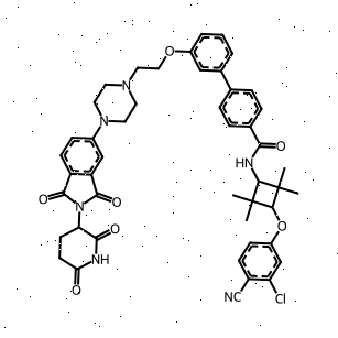 CC1(C)C(NC(=O)c2ccc(-c3cccc(OCCN4CCN(c5ccc6c(c5)C(=O)N(C5CCC(=O)NC5=O)C6=O)CC4)c3)cc2)C(C)(C)C1Oc1ccc(C#N)c(Cl)c1